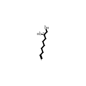 C=CCCCCC[C@@H](O)CO